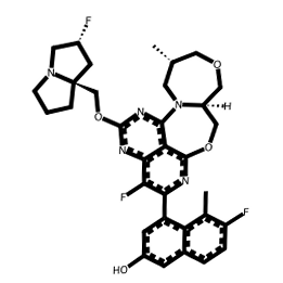 Cc1c(F)ccc2cc(O)cc(-c3nc4c5c(nc(OC[C@@]67CCCN6C[C@H](F)C7)nc5c3F)N3C[C@H](C)COC[C@H]3CO4)c12